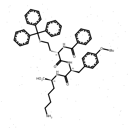 CC(C)(C)Oc1ccc(C[C@H](NC(=O)[C@H](CCSC(c2ccccc2)(c2ccccc2)c2ccccc2)NC(=O)c2ccccc2)C(=O)N[C@@H](CCCCN)C(=O)O)cc1